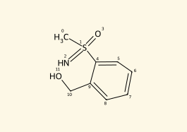 CS(=N)(=O)c1ccccc1CO